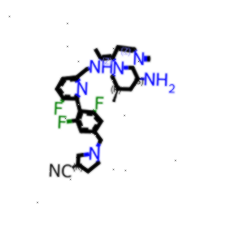 C=N/C=C\C(=C(/C)NCc1ccc(F)c(-c2c(F)cc(CN3CC[C@@H](C#N)C3)cc2F)n1)N1C[C@H](C)C[C@H](N)C1